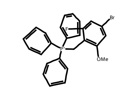 COc1cc(Br)cc(F)c1C[P+](c1ccccc1)(c1ccccc1)c1ccccc1